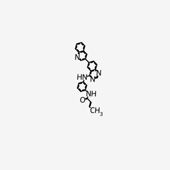 CC=CC(=O)Nc1cccc(Nc2ncnc3ccc(-c4cnc5ccccc5c4)cc23)c1